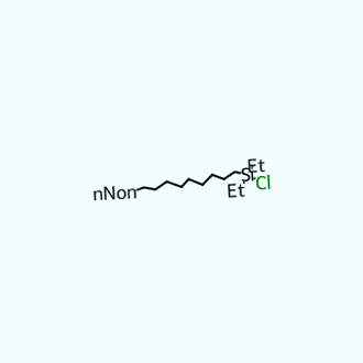 CCCCCCCCCCCCCCCCCC[Si](Cl)(CC)CC